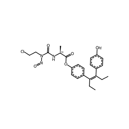 CCC(=C(CC)c1ccc(OC(=O)[C@H](C)NC(=O)N(CCCl)N=O)cc1)c1ccc(O)cc1